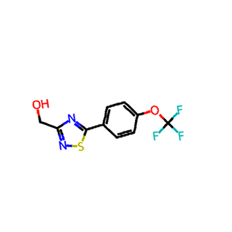 OCc1nsc(-c2ccc(OC(F)(F)F)cc2)n1